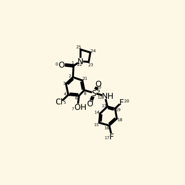 O=C(c1cc(Cl)c(O)c(S(=O)(=O)Nc2ccc(F)cc2F)c1)N1CCC1